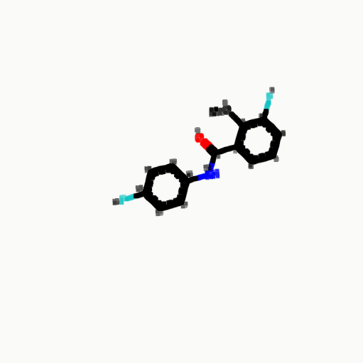 COc1c(F)cccc1C(=O)Nc1ccc(F)cc1